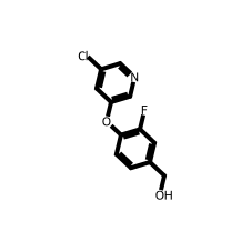 OCc1ccc(Oc2cncc(Cl)c2)c(F)c1